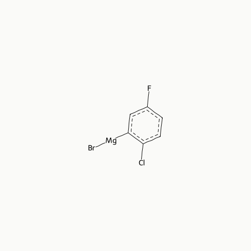 Fc1ccc(Cl)[c]([Mg][Br])c1